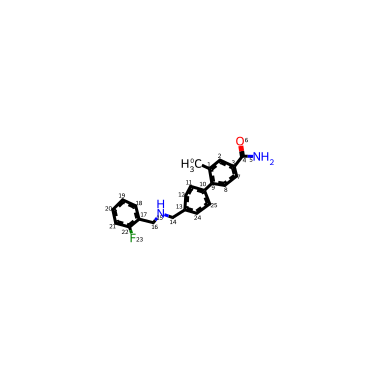 Cc1cc(C(N)=O)ccc1-c1ccc(CNCc2ccccc2F)cc1